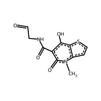 Cn1c(=O)c(C(=O)NCC=O)c(O)c2sccc21